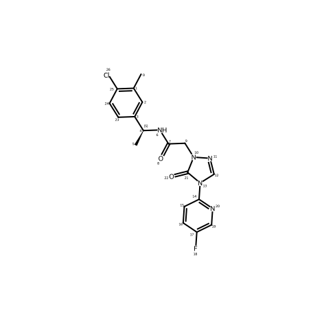 Cc1cc([C@H](C)NC(=O)Cn2ncn(-c3ccc(F)cn3)c2=O)ccc1Cl